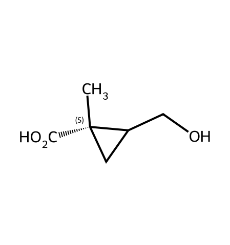 C[C@]1(C(=O)O)CC1CO